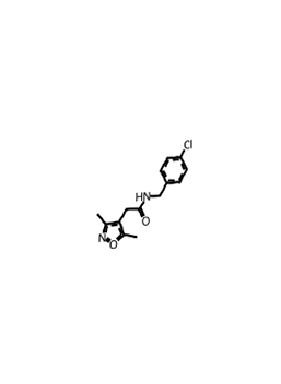 Cc1noc(C)c1CC(=O)NCc1ccc(Cl)cc1